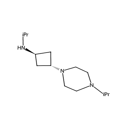 CC(C)N[C@H]1C[C@H](N2CCN(C(C)C)CC2)C1